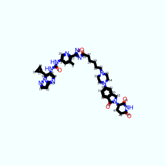 Cc1cc(NC(=O)Nc2cnc3ccnn3c2C2CC2)cnc1-c1noc(CCCCCN2CCN(c3ccc4c(c3)CN(C3CCC(=O)NC3=O)C4=O)CC2)n1